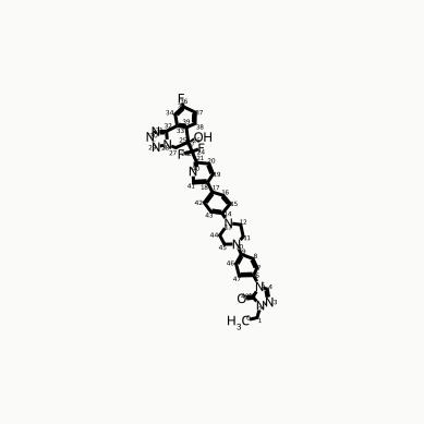 CCn1ncn(-c2ccc(N3CCN(c4ccc(-c5ccc(C(F)(F)[C@]6(O)Cn7nnnc7-c7cc(F)ccc76)nc5)cc4)CC3)cc2)c1=O